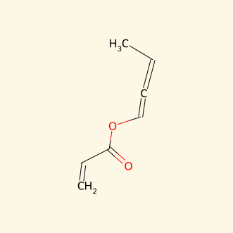 C=CC(=O)OC=C=CC